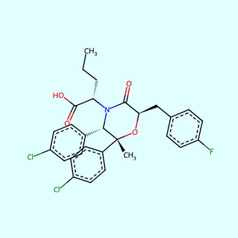 CCC[C@@H](C(=O)O)N1C(=O)[C@@H](Cc2ccc(F)cc2)O[C@](C)(c2ccc(Cl)cc2)[C@@H]1c1ccc(Cl)cc1